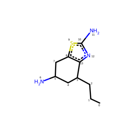 CCCC1CC(N)Cc2sc(N)nc21